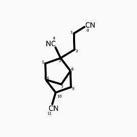 N#CCCC1(C#N)CC2CC1CC2C#N